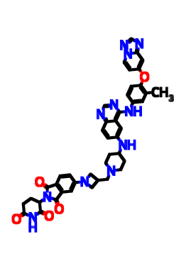 Cc1cc(Nc2ncnc3ccc(NC4CCN(CC5CN(c6ccc7c(c6)C(=O)N(C6CCC(=O)NC6=O)C7=O)C5)CC4)cc23)ccc1Oc1ccn2ncnc2c1